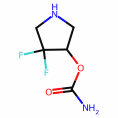 NC(=O)OC1CNCC1(F)F